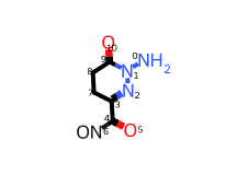 NN1N=C(C(=O)N=O)CCC1=O